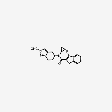 O=Cn1cc2c(n1)CCC(N(C(=O)c1sc3ccccc3c1F)C1CC1)C2